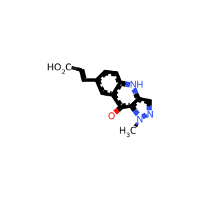 Cn1ncc2[nH]c3ccc(C=CC(=O)O)cc3c(=O)c21